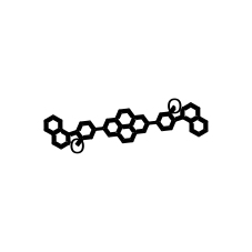 c1ccc2c(c1)ccc1oc3cc(-c4cc5ccc6cc(-c7ccc8c(c7)oc7ccc9ccccc9c78)cc7ccc(c4)c5c67)ccc3c12